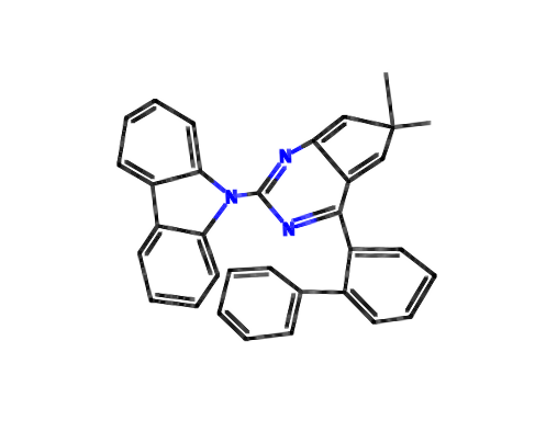 CC1(C)C=c2nc(-n3c4ccccc4c4ccccc43)nc(-c3ccccc3-c3ccccc3)c2=C1